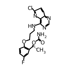 C[C@@H](OC(N)=O)c1cc(F)ccc1OCCCNc1ncnc2ccc(Cl)nc12